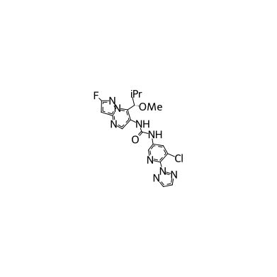 CO[C@H](c1c(NC(=O)Nc2cnc(-n3nccn3)c(Cl)c2)cnc2cc(F)nn12)C(C)C